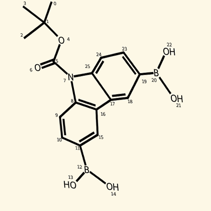 CC(C)(C)OC(=O)n1c2ccc(B(O)O)cc2c2cc(B(O)O)ccc21